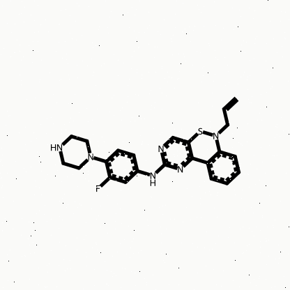 C=CCN1Sc2cnc(Nc3ccc(N4CCNCC4)c(F)c3)nc2-c2ccccc21